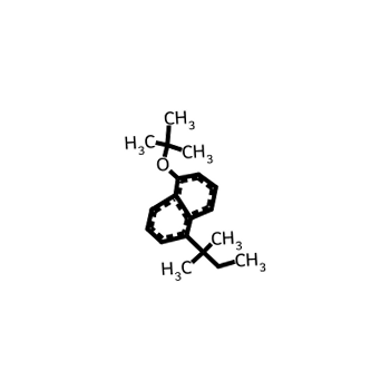 CCC(C)(C)c1cccc2c(OC(C)(C)C)cccc12